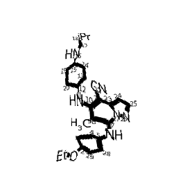 CCOc1ccc(Nc2c(C)c(N[C@H]3CC[C@H](NCC(C)C)CC3)c(C#N)c3ccnn23)cc1